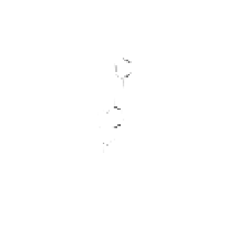 O=C(COc1ccccc1)NC1CCNCC1=O